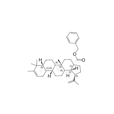 C=C(C)[C@@H]1CC[C@]2(C(=O)OCc3ccccc3)CC[C@]3(C)[C@H](CC[C@@H]4[C@@]5(C)CC=C(C)C(C)(C)[C@@H]5CC[C@]43C)[C@@H]12